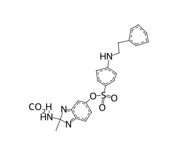 CC1(NC(=O)O)N=c2ccc(OS(=O)(=O)c3ccc(NCCc4ccccc4)cc3)cc2=N1